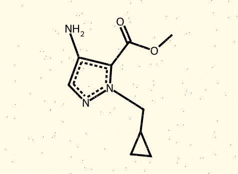 COC(=O)c1c(N)cnn1CC1CC1